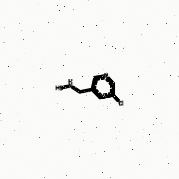 SNCc1cncc(Cl)c1